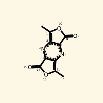 CC1=c2nc3c(nc2C(=O)O1)=C(C)OC3=O